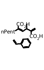 C=C(C(=O)O)C(C)C=C(CCCCC)C(=O)O.C=Cc1ccccc1